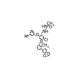 CC(=O)NCCNCc1cc(Cl)c(OCc2cccc(-c3ccc4c(c3)OCCO4)c2C)cc1OCc1cncc(C#N)c1